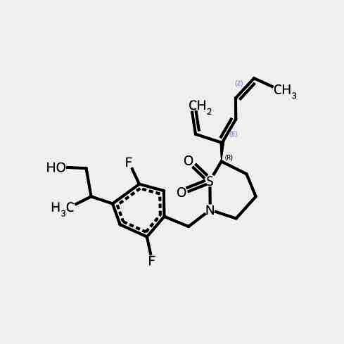 C=C/C(=C\C=C/C)[C@H]1CCCN(Cc2cc(F)c(C(C)CO)cc2F)S1(=O)=O